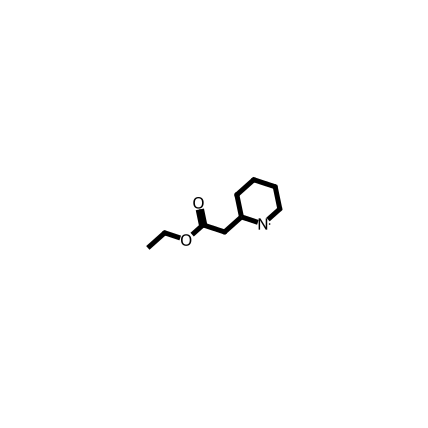 CCOC(=O)CC1CCCC[N]1